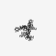 CCC[C@H](NC(=O)[C@@H]1C[C@]2(CC(N(C)Cc3ccccc3)=NO2)CN1C(=O)[C@@H](NC(=O)OC1CCCC1)C(C)(C)C)C(=O)C(=O)NC1CC1